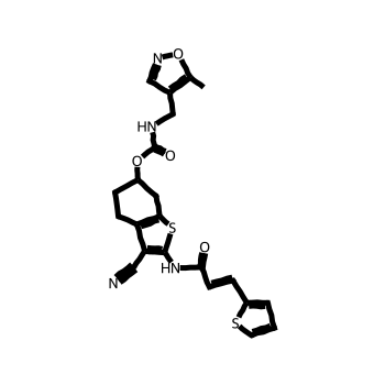 Cc1oncc1CNC(=O)OC1CCc2c(sc(NC(=O)C=Cc3cccs3)c2C#N)C1